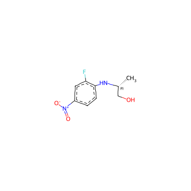 C[C@H](CO)Nc1ccc([N+](=O)[O-])cc1F